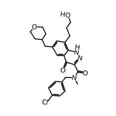 CN(Cc1ccc(Cl)cc1)C(=O)c1n[nH]c2c(CCCO)cc(CC3CCOCC3)cc2c1=O